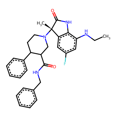 CCNc1cc(F)cc2c1NC(=O)[C@@]2(C)N1CCC(c2ccccc2)C(C(=O)NCc2ccccc2)C1